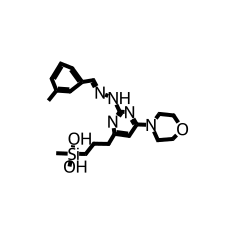 Cc1cccc(C=NNc2nc(CCC[Si](C)(O)O)cc(N3CCOCC3)n2)c1